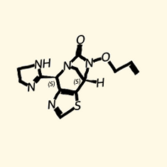 C=CCON1C(=O)N2C[C@H]1c1scnc1[C@H]2C1=NCCN1